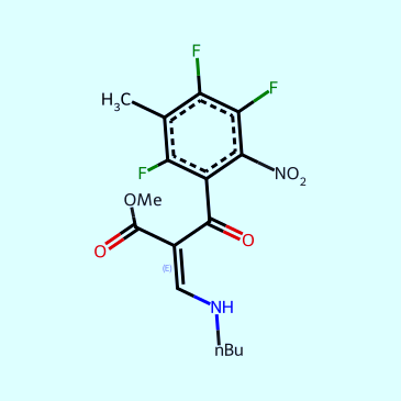 CCCCN/C=C(/C(=O)OC)C(=O)c1c(F)c(C)c(F)c(F)c1[N+](=O)[O-]